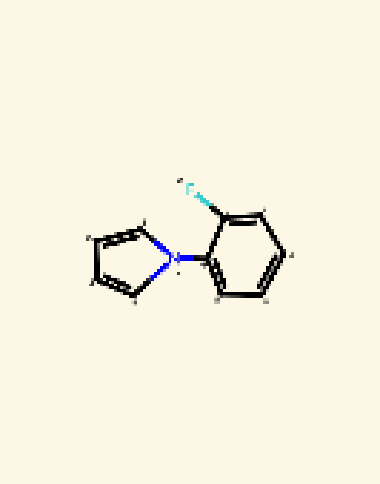 Fc1ccccc1-n1c[c]cc1